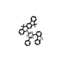 CC1(C)c2ccccc2-c2cc3c(cc21)N(c1nc(-c2ccccc2)nc(-c2cccc4oc5ccccc5c24)n1)c1ccccc1C3(C)C